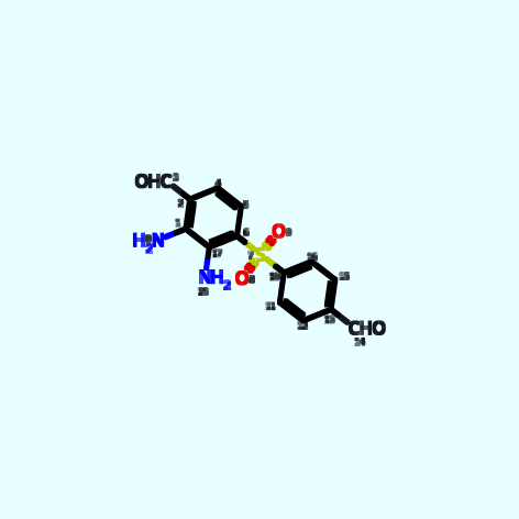 Nc1c(C=O)ccc(S(=O)(=O)c2ccc(C=O)cc2)c1N